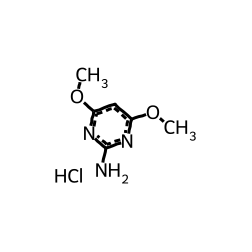 COc1cc(OC)nc(N)n1.Cl